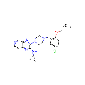 CCCOc1ccc(Cl)cc1CN1CCN(c2nc3cnccc3nc2NC2CC2)CC1